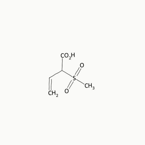 C=CC(C(=O)O)S(C)(=O)=O